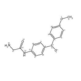 COc1ccc([S+]([O-])c2ccc(NC(=O)CN)cc2)cc1